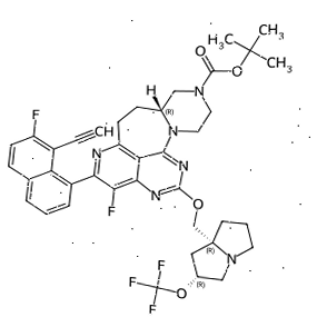 C#Cc1c(F)ccc2cccc(-c3nc4c5c(nc(OC[C@]67CCCN6C[C@H](OC(F)(F)F)C7)nc5c3F)N3CCN(C(=O)OC(C)(C)C)C[C@H]3CC4)c12